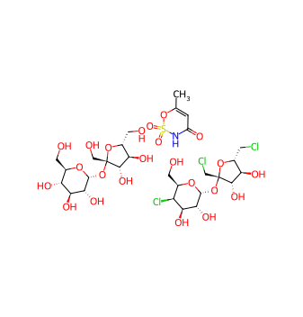 CC1=CC(=O)NS(=O)(=O)O1.OC[C@H]1O[C@@](CO)(O[C@H]2O[C@H](CO)[C@@H](O)[C@H](O)[C@H]2O)[C@@H](O)[C@@H]1O.OC[C@H]1O[C@H](O[C@]2(CCl)O[C@H](CCl)[C@@H](O)[C@@H]2O)[C@H](O)[C@@H](O)[C@H]1Cl